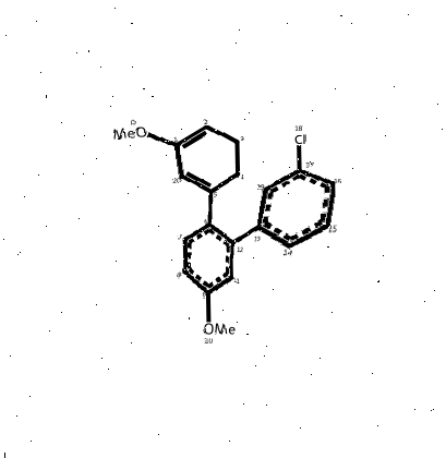 COC1=CC[CH]C(c2ccc(OC)cc2-c2cccc(Cl)c2)=C1